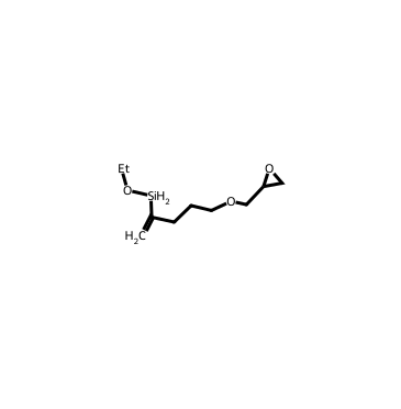 C=C(CCCOCC1CO1)[SiH2]OCC